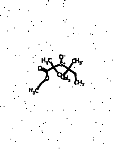 CCOC(=O)C(C)(C)[S+]([O-])C(C)(C)CC